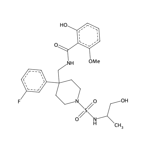 COc1cccc(O)c1C(=O)NCC1(c2cccc(F)c2)CCN(S(=O)(=O)NC(C)CO)CC1